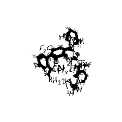 [2H]C([2H])([2H])N1CC[C@H](C(F)F)[C@](C)(C([2H])([2H])Oc2nc(N3C[C@H]4CC[C@@H](C3)N4)c3cc(C(F)(F)F)c(-c4ccc(F)c5sc(N)c(C#N)c45)c(F)c3n2)C1